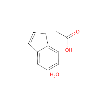 C1=Cc2ccccc2C1.CC(=O)O.O